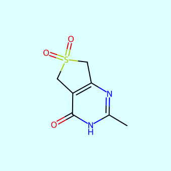 Cc1nc2c(c(=O)[nH]1)CS(=O)(=O)C2